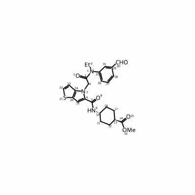 CCN(C(=O)Cn1c(C(=O)N[C@H]2CC[C@H](C(=O)OC)CC2)cc2sccc21)c1cccc(C=O)c1